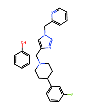 Fc1cccc(C2CCN(Cc3cn(Cc4ccccn4)nn3)CC2)c1.Oc1ccccc1